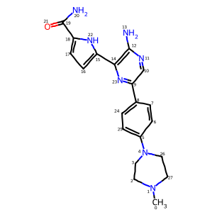 CN1CCN(c2ccc(-c3cnc(N)c(-c4ccc(C(N)=O)[nH]4)n3)cc2)CC1